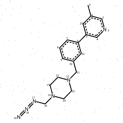 Cc1cncc(-c2cccc(CN3CCN(CN=[N+]=[N-])CC3)c2)c1